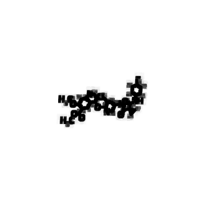 COC(=O)c1cc2c(Oc3ncc(NC(=O)C4(C(=O)Nc5ccc(F)cc5)CC4)cc3Cl)ccnc2cc1OC